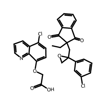 CCC1(CC2(c3cccc(Cl)c3)CO2)C(=O)c2ccccc2C1=O.O=C(O)COc1ccc(Cl)c2cccnc12